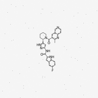 Cc1nc2ccncc2cc1C(=O)N1CCCC[C@@H]1c1cc(NC(=O)c2cc3cc(F)ccc3[nH]2)n[nH]1